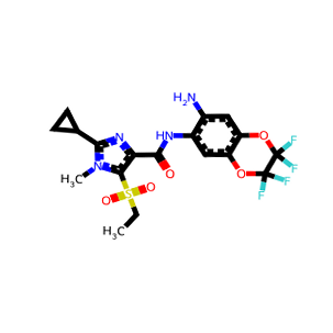 CCS(=O)(=O)c1c(C(=O)Nc2cc3c(cc2N)OC(F)(F)C(F)(F)O3)nc(C2CC2)n1C